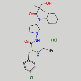 CC(C)CN[C@H](Cc1ccc(Cl)cc1)C(=O)NN1CC[C@H](N(C(=O)C(C)(C)CO)C2CCCCC2)C1.Cl